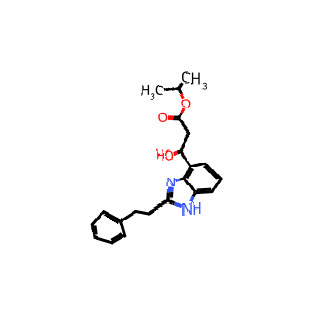 CC(C)OC(=O)CC(O)c1cccc2[nH]c(CCc3ccccc3)nc12